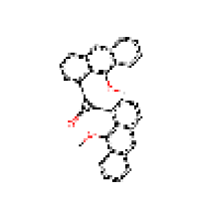 COc1c2ccccc2cc2cccc(-c3c(-c4cccc5cc6ccccc6c(OC)c45)c3=O)c12